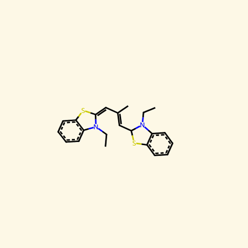 CCN1C(=CC(C)=CC2Sc3ccccc3N2CC)Sc2ccccc21